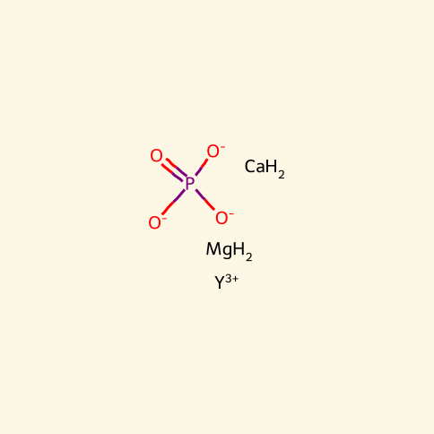 O=P([O-])([O-])[O-].[CaH2].[MgH2].[Y+3]